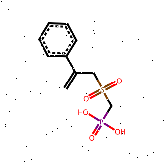 C=C(CS(=O)(=O)CP(=O)(O)O)c1ccccc1